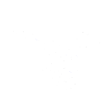 CC(C)(C)CCC(c1ccc(C(=O)NCCC(=O)O)cc1)N1C(=O)C(c2cc(Cl)cc(Cl)c2)=NC12CCN(C(=O)C(C)(C)C)CC2